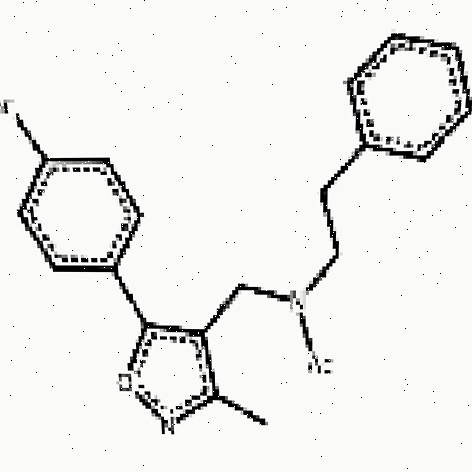 CC(=O)N(CCc1ccccc1)Cc1c(C)noc1-c1ccc(Br)cc1